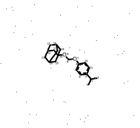 CC(C)c1ccc(OCOC23CC4CC(CC(C4)C2)C3)cc1